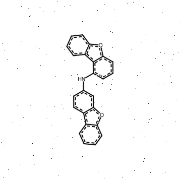 c1ccc2c(c1)oc1cc(Nc3cccc4oc5ccccc5c34)ccc12